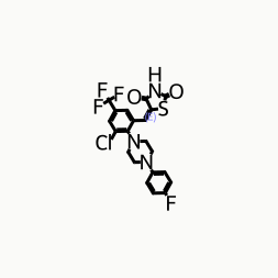 O=C1NC(=O)/C(=C\c2cc(C(F)(F)F)cc(Cl)c2N2CCN(c3ccc(F)cc3)CC2)S1